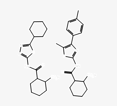 Cc1ccc(-c2nc(NC(=O)C3CCCCC3C(=O)O)sc2C)cc1.O=C(O)C1CCCCC1C(=O)Nc1nnc(C2CCCCC2)s1